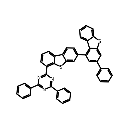 c1ccc(-c2cc(-c3ccc4c(c3)sc3c(-c5nc(-c6ccccc6)nc(-c6ccccc6)n5)cccc34)c3c(c2)sc2ccccc23)cc1